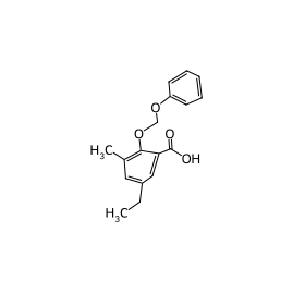 CCc1cc(C)c(OCOc2ccccc2)c(C(=O)O)c1